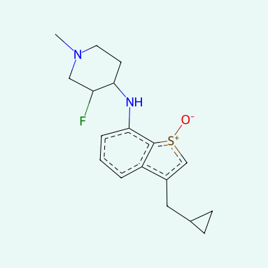 CN1CCC(Nc2cccc3c(CC4CC4)c[s+]([O-])c23)C(F)C1